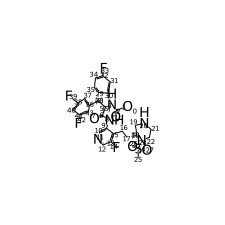 COC(=O)N[C@H](C(=O)Nc1cncc(F)c1CC[C@@H]1CNCCN1S(C)(=O)=O)[C@@H](c1ccc(F)cc1)c1cc(F)cc(F)c1